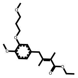 CCOC(=O)/C(C)=C(\C)Cc1ccc(OC)c(OCCCOC)c1